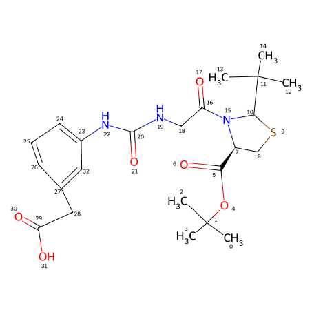 CC(C)(C)OC(=O)[C@@H]1CSC(C(C)(C)C)N1C(=O)CNC(=O)Nc1cccc(CC(=O)O)c1